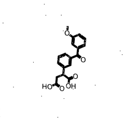 COc1cccc(C(=O)c2cccc(C(CC(=O)O)C(=O)O)c2)c1